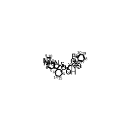 CNC(=S)C1(c2ccc3nccn3c2)CCCCC1OC(=O)CNS(=O)(=O)c1ccccc1F